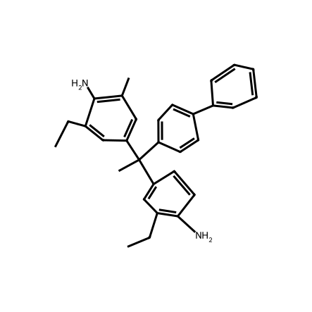 CCc1cc(C(C)(c2ccc(-c3ccccc3)cc2)c2cc(C)c(N)c(CC)c2)ccc1N